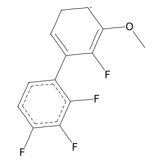 COC1=C(F)C(c2ccc(F)c(F)c2F)=CC[CH]1